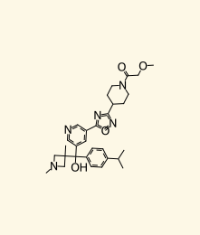 COCC(=O)N1CCC(c2noc(-c3cncc(C(O)(c4ccc(C(C)C)cc4)C4(C)CN(C)C4)c3)n2)CC1